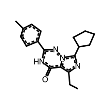 CCc1nc(C2CCCC2)n2nc(-c3ccc(C)cc3)[nH]c(=O)c12